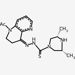 CC(=O)N1CC/C(=N/NC(=S)N2C[C@@H](C)N[C@@H](C)C2)c2ncccc21